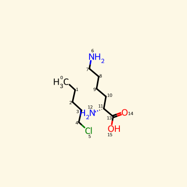 CCCCCCl.NCCCC[C@@H](N)C(=O)O